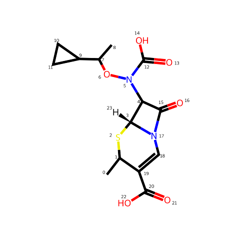 CC1S[C@@H]2C(N(OC(C)C3CC3)C(=O)O)C(=O)N2C=C1C(=O)O